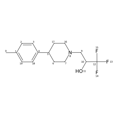 Cc1ccc(C2CCN(CC(O)C(F)(F)F)CC2)cc1